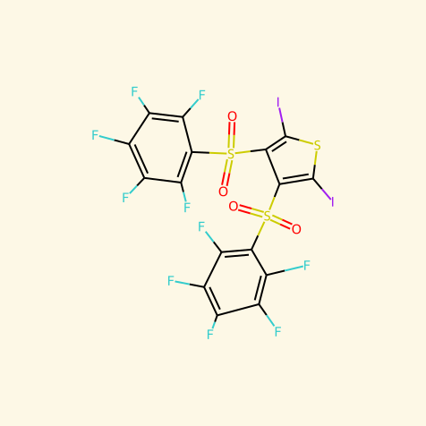 O=S(=O)(c1c(F)c(F)c(F)c(F)c1F)c1c(I)sc(I)c1S(=O)(=O)c1c(F)c(F)c(F)c(F)c1F